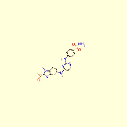 CN(c1ccc2c(c1)nc([S+](C)[O-])n2C)c1ccnc(Nc2ccc(S(N)(=O)=O)cc2)n1